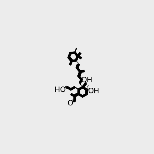 CC1=CC[C@@H](C)C(C)(C)[C@@H]1/C=C/C(C)=C/CC[C@@]1(CO)[C@H](CCCO)/C(=C(\C)C=O)CC[C@]1(C)O